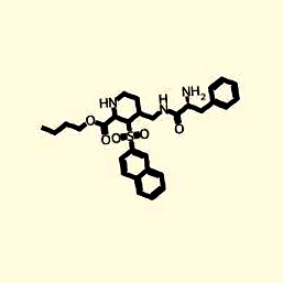 CCCCOC(=O)C1NCCC(CNC(=O)[C@@H](N)Cc2ccccc2)C1S(=O)(=O)c1ccc2ccccc2c1